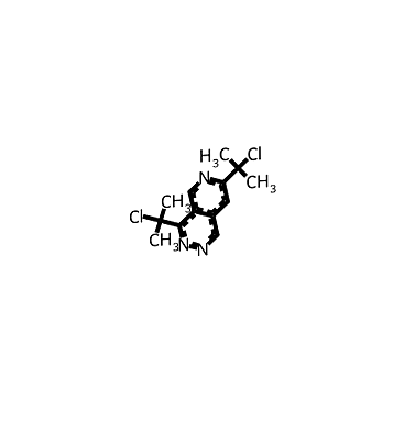 CC(C)(Cl)c1cc2cnnc(C(C)(C)Cl)c2cn1